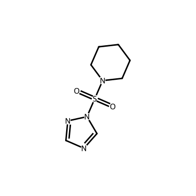 O=S(=O)(N1CCCCC1)n1cncn1